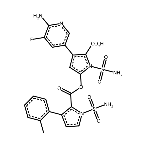 Cc1ccccc1-c1ccn(S(N)(=O)=O)c1C(=O)Oc1cc(-c2cnc(N)c(F)c2)c(C(=O)O)n1S(N)(=O)=O